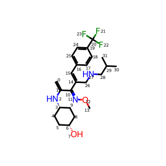 C=C(N[C@H]1CC[C@@H](O)CC1)C(=N/OC)/C(=C/c1ccc(C(F)(F)F)cc1)CNCC(C)C